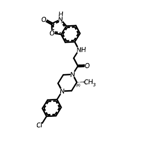 C[C@@H]1CN(c2ccc(Cl)cc2)CCN1C(=O)CNc1ccc2[nH]c(=O)oc2c1